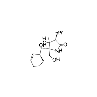 CCC[C@H]1C(=O)N[C@](CO)([C@H](O)[C@@H]2C=CCCC2)[C@@]1(C)O